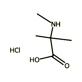 CNC(C)(C)C(=O)O.Cl